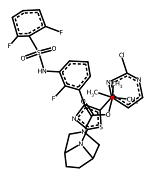 CC(C)(C)OC(=O)N1CC2CCC(C1)N2c1nc(-c2cccc(NS(=O)(=O)c3c(F)cccc3F)c2F)c(-c2ccnc(Cl)n2)s1